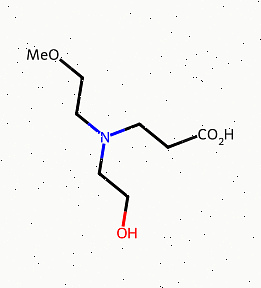 COCCN(CCO)CCC(=O)O